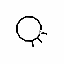 CC1CCCCCCCCCN(C)C1C